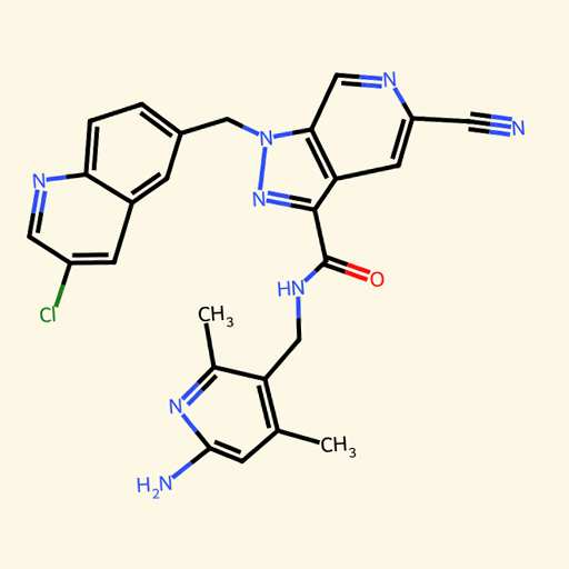 Cc1cc(N)nc(C)c1CNC(=O)c1nn(Cc2ccc3ncc(Cl)cc3c2)c2cnc(C#N)cc12